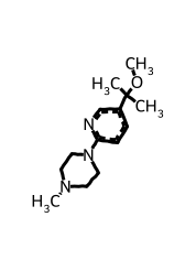 COC(C)(C)c1ccc(N2CCN(C)CC2)nc1